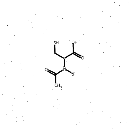 CC(=O)N(F)C(CS)C(=O)O